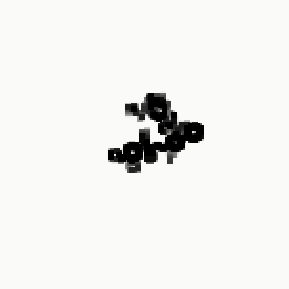 C[N+]1(C)CCC(OC(=O)Nc2cc(CCC(=O)Nc3ccc(C=O)c(Cl)c3)ccc2-c2ccccc2)CC1.[I-]